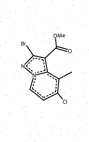 COC(=O)c1c(Br)nn2ccc(Cl)c(C)c12